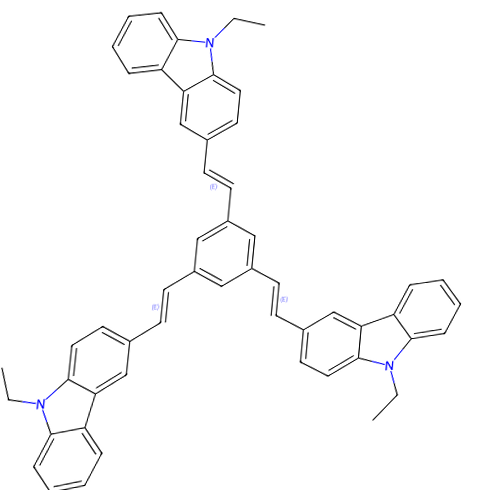 CCn1c2ccccc2c2cc(/C=C/c3cc(/C=C/c4ccc5c(c4)c4ccccc4n5CC)cc(/C=C/c4ccc5c(c4)c4ccccc4n5CC)c3)ccc21